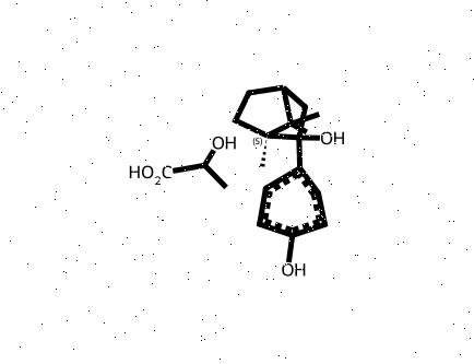 CC(O)C(=O)O.CC1(C)C2CC[C@]1(C)C(O)(c1ccc(O)cc1)C2